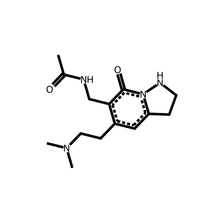 CC(=O)NCc1c(CCN(C)C)cc2n(c1=O)NCC2